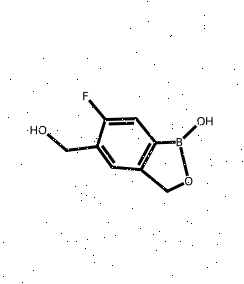 OCc1cc2c(cc1F)B(O)OC2